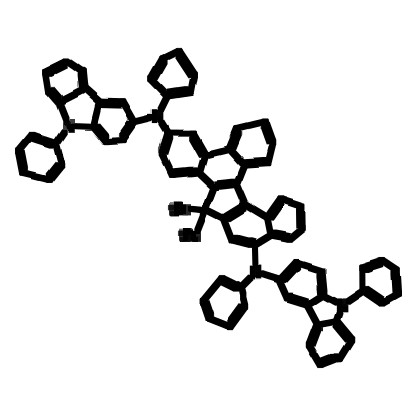 CC(C)(C)C1(C(C)(C)C)c2cc(N(c3ccccc3)c3ccc4c(c3)c3ccccc3n4-c3ccccc3)c3ccccc3c2-c2c1c1ccc(N(c3ccccc3)c3ccc4c(c3)c3ccccc3n4-c3ccccc3)cc1c1ccccc21